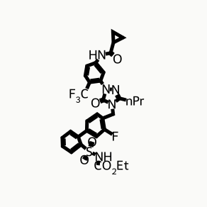 CCCc1nn(-c2cc(NC(=O)C3CC3)ccc2C(F)(F)F)c(=O)n1Cc1ccc(-c2ccccc2S(=O)(=O)NC(=O)OCC)cc1F